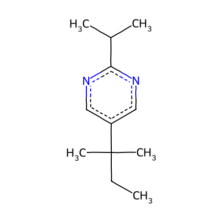 CCC(C)(C)c1cnc(C(C)C)nc1